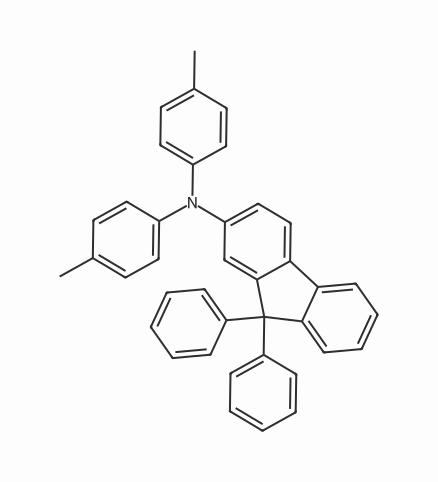 Cc1ccc(N(c2ccc(C)cc2)c2ccc3c(c2)C(c2ccccc2)(c2ccccc2)c2ccccc2-3)cc1